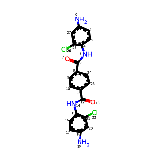 Nc1ccc(NC(=O)c2ccc(C(=O)Nc3ccc(N)cc3Cl)cc2)c(Cl)c1